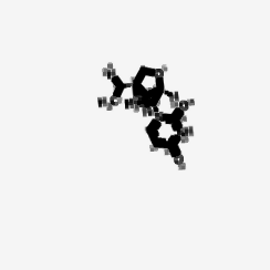 [2H]C(C)[C@@]12CO[C@@H]([C@H](n3ccc(=O)[nH]c3=O)O1)[C@@H]2C